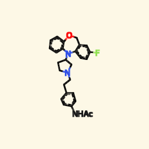 CC(=O)Nc1ccc(CCN2CCC(N3c4ccc(F)cc4COc4ccccc43)C2)cc1